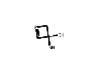 C[C@@]1(S)C=PC1